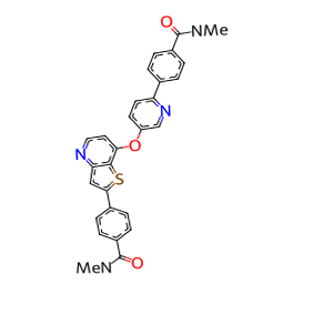 CNC(=O)c1ccc(-c2ccc(Oc3ccnc4cc(-c5ccc(C(=O)NC)cc5)sc34)cn2)cc1